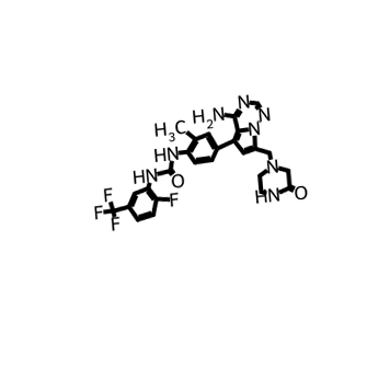 Cc1cc(-c2cc(CN3CCNC(=O)C3)n3ncnc(N)c23)ccc1NC(=O)Nc1cc(C(F)(F)F)ccc1F